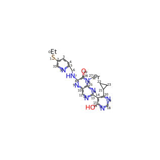 CCSc1ccc(CNc2nc3cnc(-c4c(O)ncnc4C4CC4)nc3n(C(C)C)c2=O)nc1